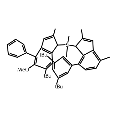 COc1c(C(C)(C)C)cc2c(c1-c1ccccc1)C=C(C)C2[Si](C)(C)C1C(C)=Cc2c(C)ccc(-c3cc(C(C)(C)C)cc(C(C)(C)C)c3)c21